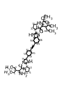 CCC(CC)[C@H](N)C(=O)N1CCC[C@H]1c1ncc(-c2ccc(C#Cc3ccc4nc([C@@H]5CCCN5C(=O)[C@@H](NC(=O)OC)C(CC)CC)[nH]c4c3)cc2)[nH]1